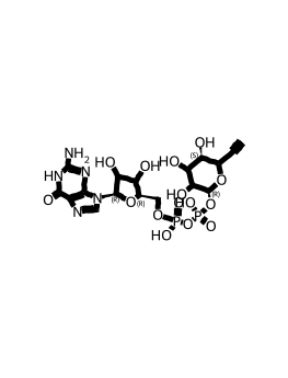 C#CC1O[C@H](OP(=O)(O)OP(=O)(O)OC[C@H]2O[C@@H](n3cnc4c(=O)[nH]c(N)nc43)C(O)C2O)C(O)C(O)[C@@H]1O